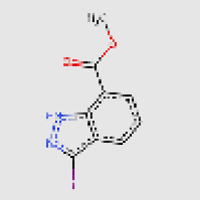 COC(=O)c1cccc2c(I)n[nH]c12